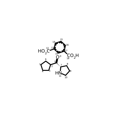 O=C(C1CCCC1)[C@@H]1CCCN1.O=C(O)c1cccc(C(=O)O)c1